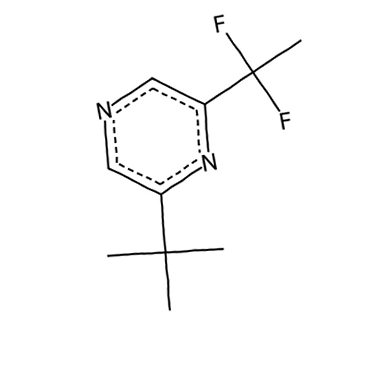 CC(C)(C)c1cncc(C(C)(F)F)n1